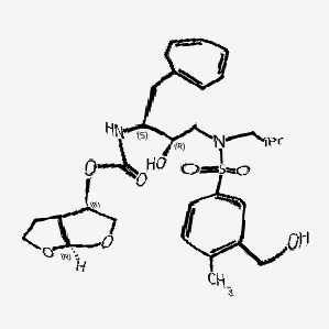 Cc1ccc(S(=O)(=O)N(CC(C)C)C[C@@H](O)[C@H](Cc2ccccc2)NC(=O)O[C@H]2CO[C@H]3OCCC32)cc1CO